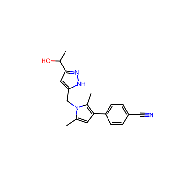 Cc1cc(-c2ccc(C#N)cc2)c(C)n1Cc1cc(C(C)O)n[nH]1